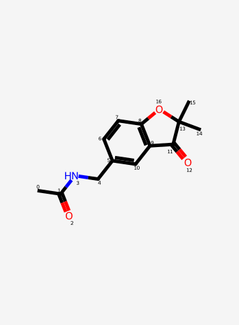 CC(=O)NCc1ccc2c(c1)C(=O)C(C)(C)O2